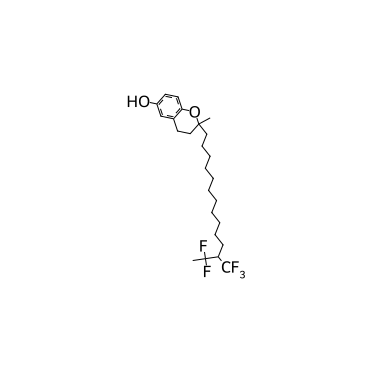 CC1(CCCCCCCCCCCC(C(C)(F)F)C(F)(F)F)CCc2cc(O)ccc2O1